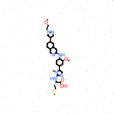 COCCn1cc(-c2ccc3cnc(Nc4ccc(-c5cnc(N[C@@H](CCSC)C(=O)O)n5C)cc4OC)cc3c2)cn1